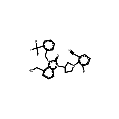 N#Cc1cccc(F)c1N1CCC(n2c(=O)n(Cc3ccccc3C(F)(F)F)c3c(CO)cccc32)C1